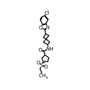 CCCS(=O)(=O)N1CCC(C(=O)NC2CC3(C2)CC(c2nc4cc(Cl)ccc4o2)C3)C1